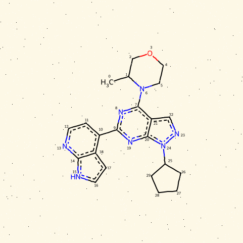 CC1COCCN1c1nc(-c2ccnc3[nH]ccc23)nc2c1cnn2C1CCCC1